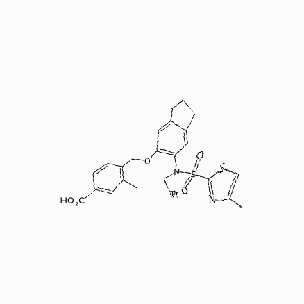 Cc1csc(S(=O)(=O)N(CC(C)C)c2cc3c(cc2OCc2ccc(C(=O)O)cc2C)CCC3)n1